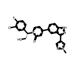 Cn1cc(-c2n[nH]c3ccc(-c4ccn([C@H](CO)c5ccc(F)c(Cl)c5)c(=O)c4)cc23)cn1